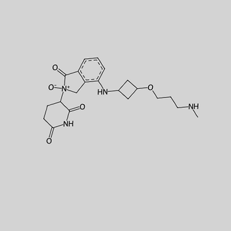 CNCCCOC1CC(Nc2cccc3c2C[N+]([O-])(C2CCC(=O)NC2=O)C3=O)C1